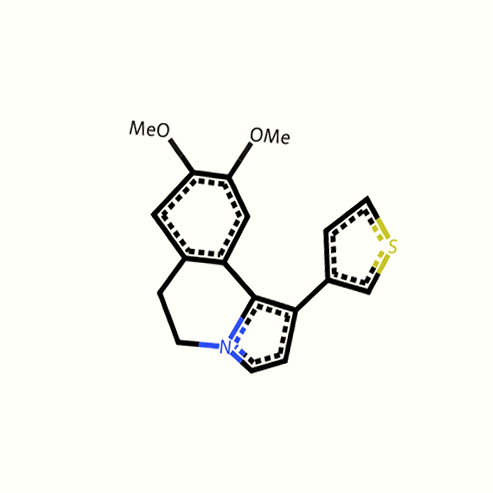 COc1cc2c(cc1OC)-c1c(-c3ccsc3)ccn1CC2